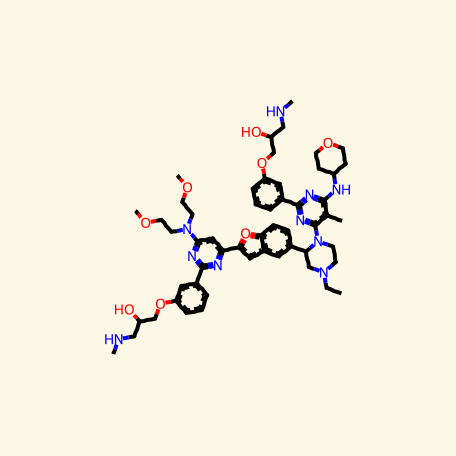 CCN1CCN(c2nc(-c3cccc(OCC(O)CNC)c3)nc(NC3CCOCC3)c2C)C(c2ccc3oc(-c4cc(N(CCOC)CCOC)nc(-c5cccc(OCC(O)CNC)c5)n4)cc3c2)C1